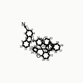 N#Cc1ccc2c(c1)c1ccccc1n2-c1cnc2c(c1)C1(c3ccccc3Oc3cccc(-n4c5ccccc5c5ccncc54)c31)c1cccnc1-2